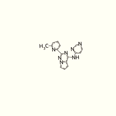 Cc1cccc(-c2nc(Nc3ccncn3)c3cccn3n2)n1